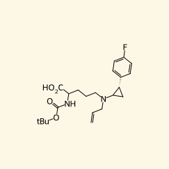 C=CCN(CCCC(NC(=O)OC(C)(C)C)C(=O)O)C1C[C@H]1c1ccc(F)cc1